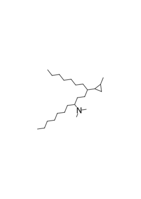 CCCCCCCC(CCC(CCCCCCC)N(C)C)C1CC1C